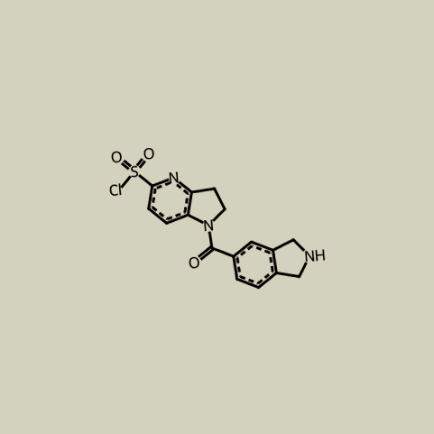 O=C(c1ccc2c(c1)CNC2)N1CCc2nc(S(=O)(=O)Cl)ccc21